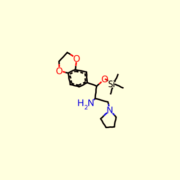 C[Si](C)(C)OC(c1ccc2c(c1)OCCO2)C(N)CN1CCCC1